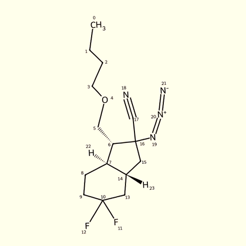 CCCCOC[C@H]1[C@@H]2CCC(F)(F)C[C@H]2CC1(C#N)N=[N+]=[N-]